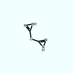 N1=C(OC2=NN2)N1